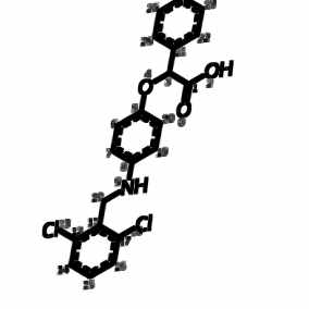 O=C(O)C(Oc1ccc(NCc2c(Cl)cccc2Cl)cc1)c1ccccc1